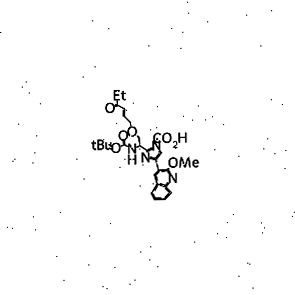 CCC(=O)/C=C/COC[C@H](NC(=O)OC(C)(C)C)c1nc(-c2cc3ccccc3nc2OC)cn1C(=O)O